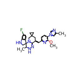 COc1nc(/C=C2\CC3(CC3)CN3C2=NNC(C)C32CNc3cc(F)ccc32)ccc1-n1cnc(C)c1